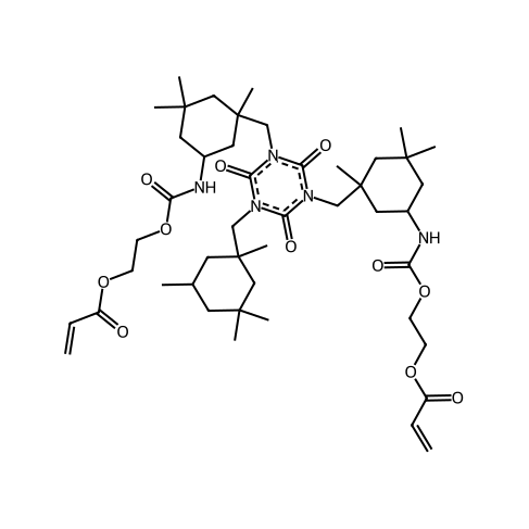 C=CC(=O)OCCOC(=O)NC1CC(C)(C)CC(C)(Cn2c(=O)n(CC3(C)CC(C)CC(C)(C)C3)c(=O)n(CC3(C)CC(NC(=O)OCCOC(=O)C=C)CC(C)(C)C3)c2=O)C1